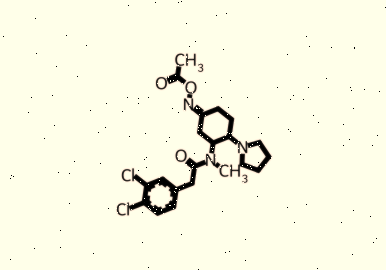 CC(=O)ON=C1CCC(N2CCCC2)C(N(C)C(=O)Cc2ccc(Cl)c(Cl)c2)C1